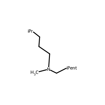 CCCC(C)CN(C)CCCC(C)C